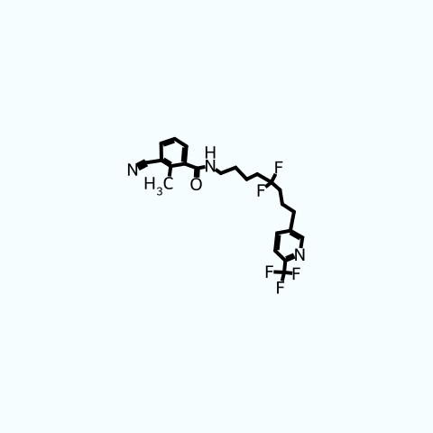 Cc1c(C#N)cccc1C(=O)NCCCCC(F)(F)CCCc1ccc(C(F)(F)F)nc1